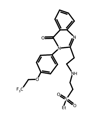 CCS(=O)(=O)CCNCCc1nc2ccccc2c(=O)n1-c1ccc(OCC(F)(F)F)cc1